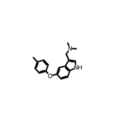 Cc1ccc(Oc2ccc3[nH]cc(CN(C)C)c3c2)cc1